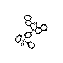 O=P(C1=CC=CCC1)(c1ccccc1)c1ccc(-c2c3ccc4ccccc4c3nc3c2ccc2ccccc23)cc1